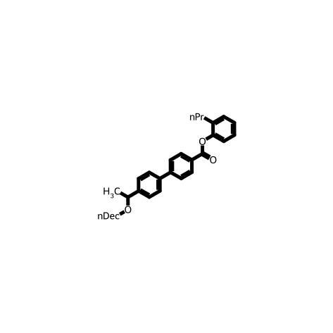 CCCCCCCCCCOC(C)c1ccc(-c2ccc(C(=O)Oc3ccccc3CCC)cc2)cc1